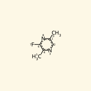 Cc1cnc(C)c(F)n1